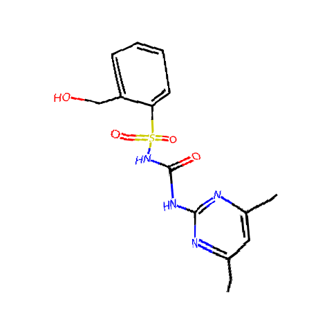 Cc1cc(C)nc(NC(=O)NS(=O)(=O)c2ccccc2CO)n1